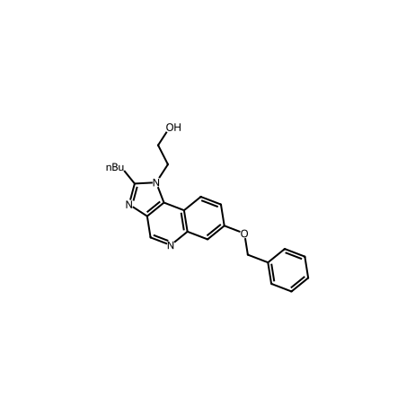 CCCCc1nc2cnc3cc(OCc4ccccc4)ccc3c2n1CCO